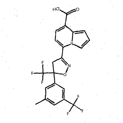 Cc1cc(C(F)(F)F)cc(C2(C(F)(F)F)CC(c3ccc(C(=O)O)c4cccn34)=NO2)c1